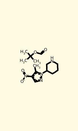 CC(C)(C)OC=O.Cc1c([N+](=O)[O-])cnn1C1CCCNC1